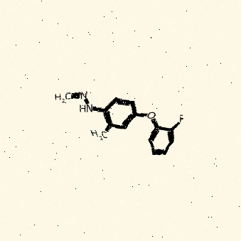 C=NNc1ccc(Oc2ccccc2F)cc1C